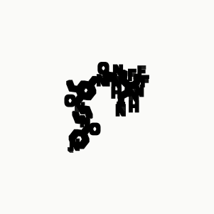 CCc1cc(CNC(=O)c2ncc(-c3c(C(F)(F)F)n[nH]c3CC#N)[nH]2)ccc1C(=O)N1CCN(C(=O)C2CCN(C)CC2)CC1